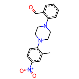 Cc1cc([N+](=O)[O-])ccc1N1CCN(c2ccccc2C=O)CC1